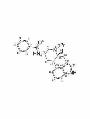 CCCN1C[C@@H](NC(=O)c2ccccc2)CC2c3cccc4[nH]cc(c34)C[C@H]21